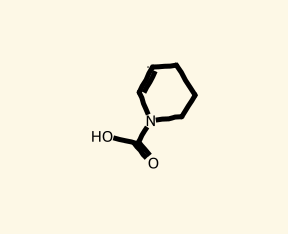 O=C(O)N1C=[C]CCC1